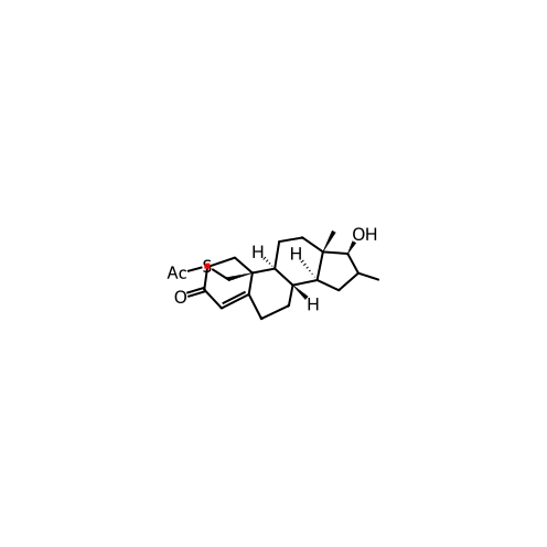 CC(=O)SC[C@]12CCC(=O)C=C1CC[C@@H]1[C@@H]2CC[C@]2(C)[C@@H](O)C(C)C[C@@H]12